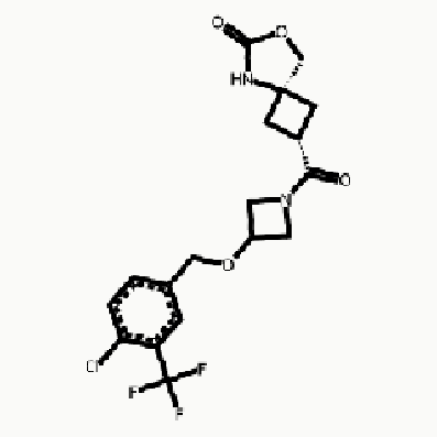 O=C1N[C@]2(CO1)C[C@@H](C(=O)N1CC(OCc3ccc(Cl)c(C(F)(F)F)c3)C1)C2